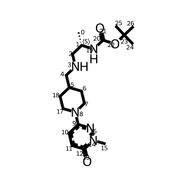 C[C@@H](CNCC1CCN(c2ccc(=O)n(C)n2)CC1)NC(=O)OC(C)(C)C